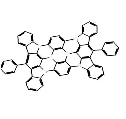 c1ccc(-c2c3c4ccccc4n4c3c3c5c2c2ccccc2n5-c2ccc5c6c2B3c2c-4ccc3c2B6c2c4c(c(-c6ccccc6)c6c7ccccc7n-5c26)c2ccccc2n4-3)cc1